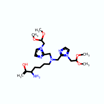 C=C(O)C(N)CCCCN(Cc1nccn1CC(OC)OC)Cc1nccn1CC(OC)OC